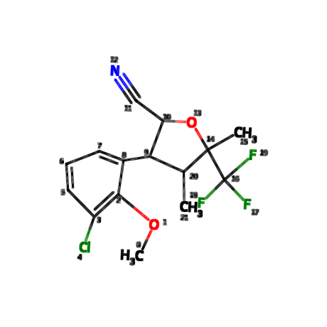 COc1c(Cl)cccc1C1C(C#N)OC(C)(C(F)(F)F)C1C